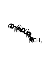 Cn1cc(-n2ccc(=O)c(Cc3cccc(NC(=O)OCC4CCOCC4)c3)n2)cn1